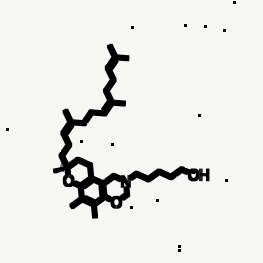 CC(C)=CCCC(C)=CCCC(C)=CCC[C@]1(C)CCc2c3c(c(C)c(C)c2O1)OCN(CCCCCO)C3